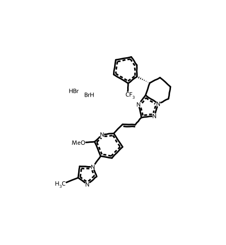 Br.Br.COc1nc(C=Cc2nc3n(n2)CCC[C@H]3c2ccccc2C(F)(F)F)ccc1-n1cnc(C)c1